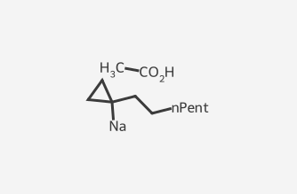 CC(=O)O.CCCCCCC[C]1([Na])CC1